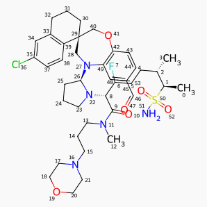 C[C@H]([C@@H](C)C/C=C(\F)[C@H](C(=O)N(C)CCCN1CCOCC1)N1CCC[C@H]1N1C[C@@]2(CCCc3cc(Cl)ccc32)COc2ccc(C=O)cc21)S(N)(=O)=O